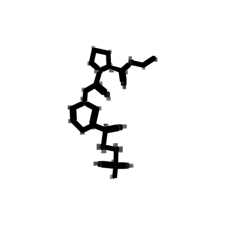 CCOC(=O)[C@@H]1CCCN1C(=O)CN1C=CCC(C(=O)NNS(C)(=O)=O)=C1